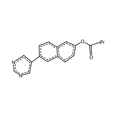 CC(C)C(=O)Oc1ccc2cc(-c3cncnc3)ccc2c1